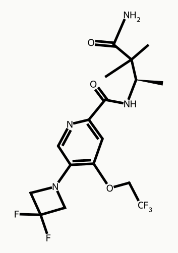 C[C@@H](NC(=O)c1cc(OCC(F)(F)F)c(N2CC(F)(F)C2)cn1)C(C)(C)C(N)=O